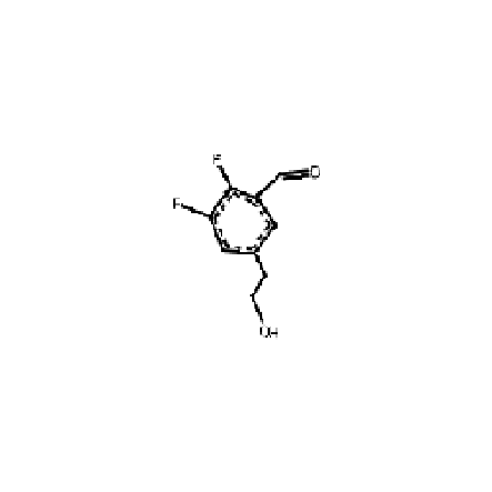 O=Cc1cc(CCO)cc(F)c1F